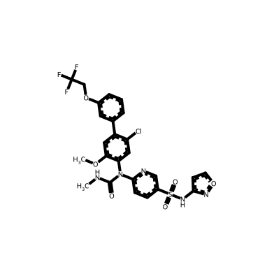 CNC(=O)N(c1ccc(S(=O)(=O)Nc2ccon2)cn1)c1cc(Cl)c(-c2cccc(OCC(F)(F)F)c2)cc1OC